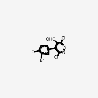 O=Cc1c(Cl)nnc(Cl)c1-c1ccc(F)c(Br)c1